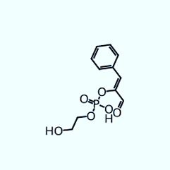 O=CC(=Cc1ccccc1)OP(=O)(O)OCCO